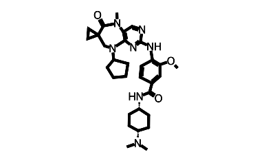 COc1cc(C(=O)N[C@H]2CC[C@@H](N(C)C)CC2)ccc1Nc1ncc2c(n1)N(C1CCCC1)CC1(CC1)C(=O)N2C